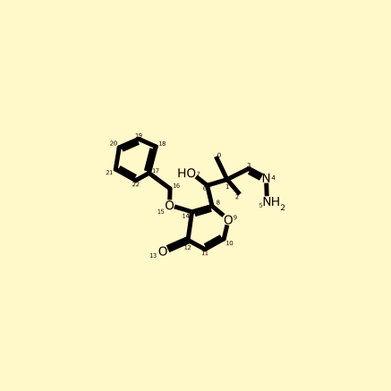 CC(C)(/C=N\N)C(O)c1occc(=O)c1OCc1ccccc1